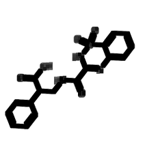 O=C(NCC(C(=O)O)c1ccccc1)C1=Nc2ccccc2S(=O)(=O)N1